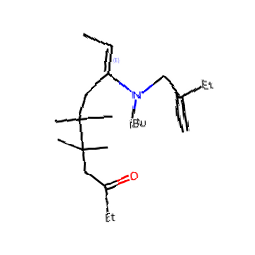 C=C(CC)CN(/C(=C/C)CC(C)(C)C(C)(C)CC(=O)CC)C(C)CC